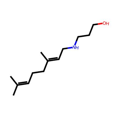 CC(C)=CCC/C(C)=C/CNCCCO